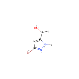 CC(O)c1cc(Br)nn1C